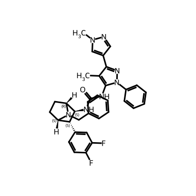 Cc1c(-c2cnn(C)c2)nn(-c2ccccc2)c1NC(=O)N[C@H]1[C@H](c2ccc(F)c(F)c2)[C@@H]2CC[C@H]1N2Cc1ccccc1